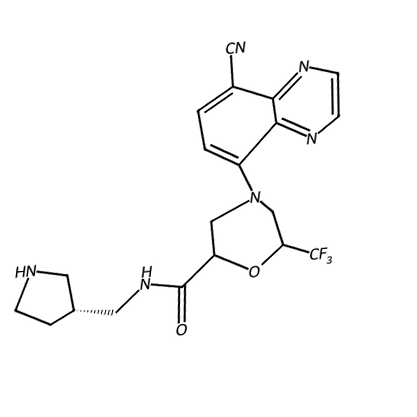 N#Cc1ccc(N2CC(C(=O)NC[C@@H]3CCNC3)OC(C(F)(F)F)C2)c2nccnc12